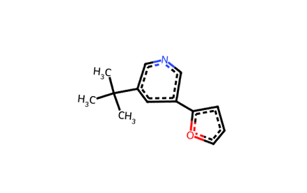 CC(C)(C)c1cncc(-c2ccco2)c1